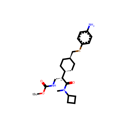 CN(C(=O)[C@H](CNC(=O)OC(C)(C)C)[C@H]1CC[C@H](CSc2ccc(N)cc2)CC1)C1CCC1